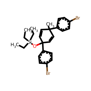 CC[Si](CC)(CC)OC1(c2ccc(Br)cc2)C=CC(C)(c2ccc(Br)cc2)C=C1